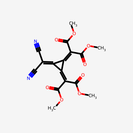 COC(=O)C(C(=O)OC)=C1C(=C(C#N)C#N)C1=C(C(=O)OC)C(=O)OC